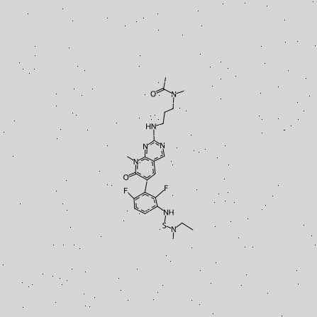 CCN(C)SNc1ccc(F)c(-c2cc3cnc(NCCCN(C)C(C)=O)nc3n(C)c2=O)c1F